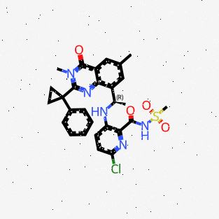 Cc1cc([C@@H](C)Nc2ccc(Cl)nc2C(=O)NS(C)(=O)=O)c2nc(C3(c4ccccc4)CC3)n(C)c(=O)c2c1